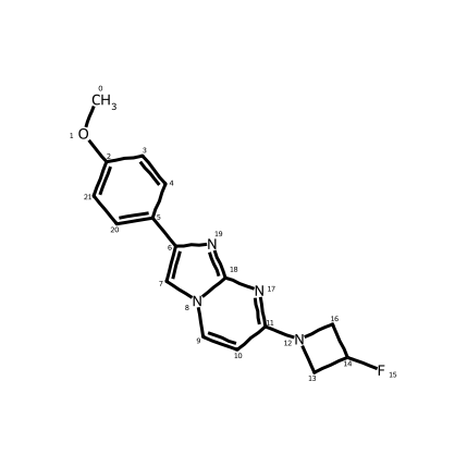 COc1ccc(-c2cn3ccc(N4CC(F)C4)nc3n2)cc1